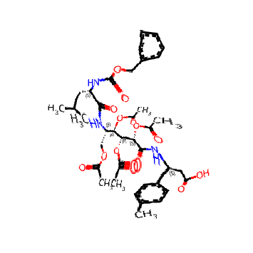 CC(=O)OC[C@H](NC(=O)[C@H](CC(C)C)NC(=O)OCc1ccccc1)[C@@H](OC(C)=O)[C@@H](OC(C)=O)[C@H](OC(C)=O)C(=O)N[C@@H](CC(=O)O)c1ccc(C)cc1